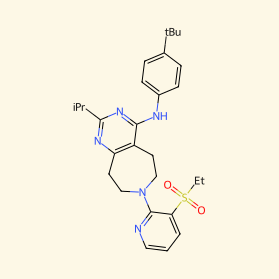 CCS(=O)(=O)c1cccnc1N1CCc2nc(C(C)C)nc(Nc3ccc(C(C)(C)C)cc3)c2CC1